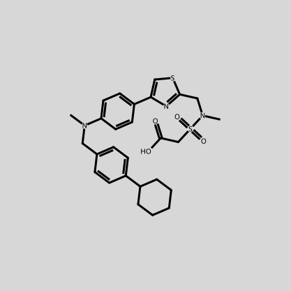 CN(Cc1ccc(C2CCCCC2)cc1)c1ccc(-c2csc(CN(C)S(=O)(=O)CC(=O)O)n2)cc1